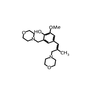 COc1cc(C=C(C)CN2CCOCC2)cc(CN2CCOCC2)c1O